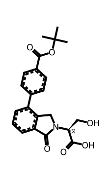 CC(C)(C)OC(=O)c1ccc(-c2cccc3c2CN([C@@H](CO)C(=O)O)C3=O)cc1